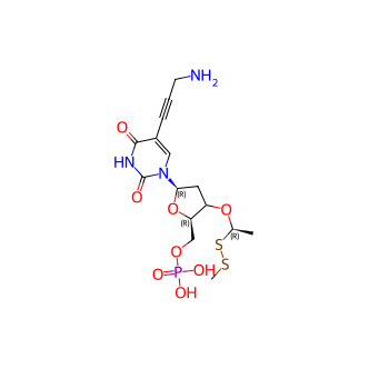 CSS[C@H](C)OC1C[C@H](n2cc(C#CCN)c(=O)[nH]c2=O)O[C@@H]1COP(=O)(O)O